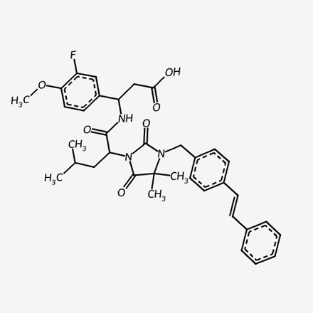 COc1ccc(C(CC(=O)O)NC(=O)C(CC(C)C)N2C(=O)N(Cc3ccc(C=Cc4ccccc4)cc3)C(C)(C)C2=O)cc1F